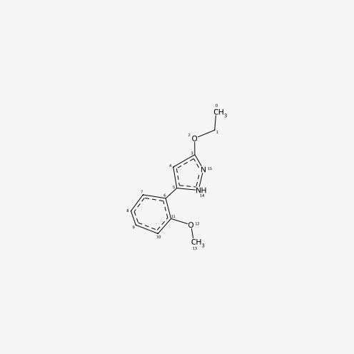 CCOc1cc(-c2ccccc2OC)[nH]n1